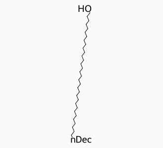 CCCCCCCCCCCCCCCCCCCCCCCCCCCCCCCCCCCCCCCCCCO